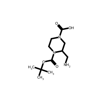 CC(C)(C)OC(=O)N1CCN(C(=O)O)CC1CN